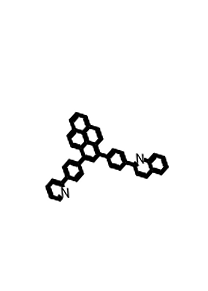 c1ccc(-c2ccc(-c3cc(-c4ccc(-c5ccc6ccccc6n5)cc4)c4ccc5cccc6ccc3c4c65)cc2)nc1